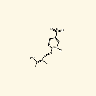 C/C(O)=C(C)/N=N/c1ccc([SH](=O)=O)cc1Cl